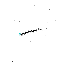 [CH2]CCCCCCCCCCCCCCCCCF